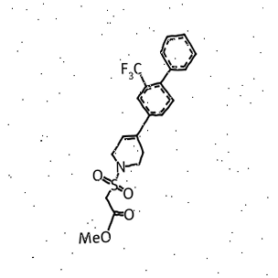 COC(=O)CS(=O)(=O)N1CC=C(c2ccc(-c3ccccc3)c(C(F)(F)F)c2)CC1